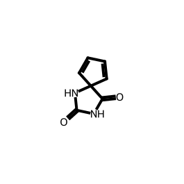 O=C1NC(=O)C2(C=CC=C2)N1